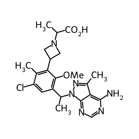 COc1c(C(C)n2nc(C)c3c(N)ncnc32)cc(Cl)c(C)c1C1CN(C(C)C(=O)O)C1